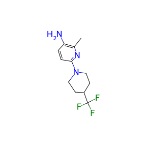 Cc1nc(N2CCC(C(F)(F)F)CC2)ccc1N